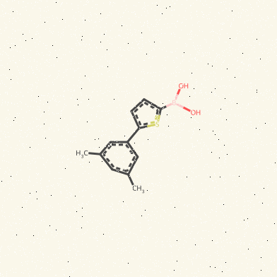 Cc1cc(C)cc(-c2ccc(B(O)O)s2)c1